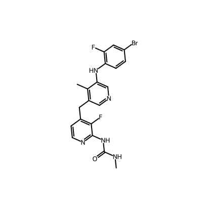 CNC(=O)Nc1nccc(Cc2cncc(Nc3ccc(Br)cc3F)c2C)c1F